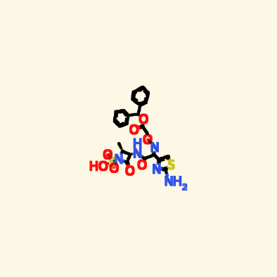 C[C@H]1[C@H](NC(=O)/C(=N\OCC(=O)OC(c2ccccc2)c2ccccc2)c2csc(N)n2)C(=O)N1S(=O)(=O)O